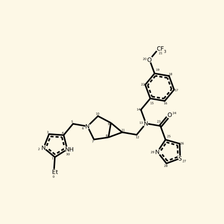 CCc1ncc(CN2CC3C(C2)C3CN(Cc2cccc(OC(F)(F)F)c2)C(=O)c2cscn2)[nH]1